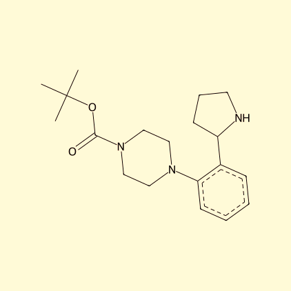 CC(C)(C)OC(=O)N1CCN(c2ccccc2C2CCCN2)CC1